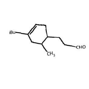 CCC(C)C1=CCC(CCC=O)C(C)C1